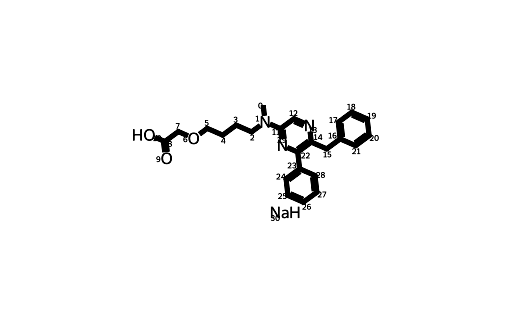 CN(CCCCOCC(=O)O)c1cnc(Cc2ccccc2)c(-c2ccccc2)n1.[NaH]